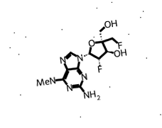 CNc1nc(N)nc2c1ncn2[C@@H]1O[C@@](CO)(CF)[C@@H](O)[C@@H]1F